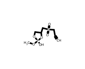 C#CCS(=O)(=O)CC1CO[P](O)(OC)O1